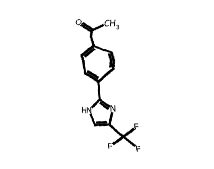 CC(=O)c1ccc(-c2nc(C(F)(F)F)c[nH]2)cc1